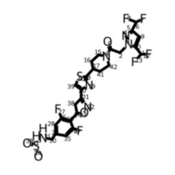 O=C(Cn1nc(C(F)F)cc1C(F)F)N1CCC(c2nc(C3=NOC(c4c(F)cc(CN[SH](=O)=O)cc4F)C3)cs2)CC1